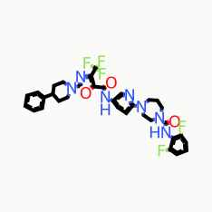 O=C(Nc1ccc(N2CCCN(C(=O)Nc3c(F)cccc3F)CC2)nc1)c1oc(N2CCC(c3ccccc3)CC2)nc1C(F)(F)F